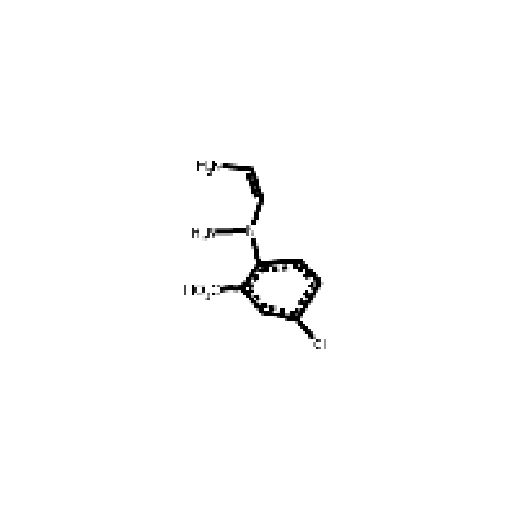 N/C=C\N(N)c1ccc(Cl)cc1C(=O)O